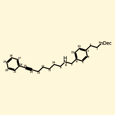 CCCCCCCCCCCCc1ccc(CNCCCCCC#Cc2ccccc2)cc1